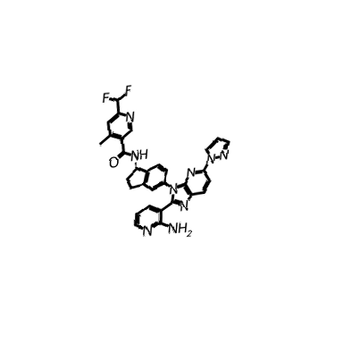 Cc1cc(C(F)F)ncc1C(=O)N[C@H]1CCc2cc(-n3c(-c4cccnc4N)nc4ccc(-n5cccn5)nc43)ccc21